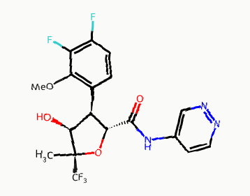 COc1c([C@H]2[C@H](C(=O)Nc3ccnnc3)O[C@@](C)(C(F)(F)F)[C@H]2O)ccc(F)c1F